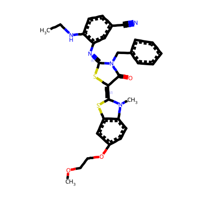 CCNc1ccc(C#N)cc1/N=C1/S/C(=C2\Sc3cc(OCCOC)ccc3N2C)C(=O)N1Cc1ccccc1